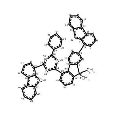 CC1(C)c2cc(-c3cccc4c3sc3ccccc34)ccc2-c2c(-c3nc(-c4ccccc4)nc(-c4cccc5c4oc4ccccc45)n3)cccc21